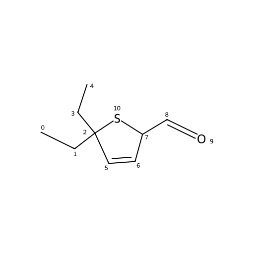 CCC1(CC)C=CC(C=O)S1